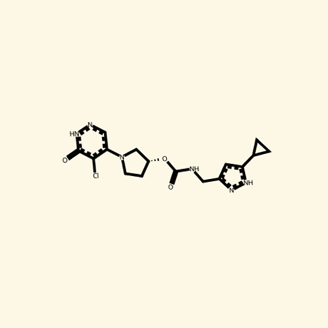 O=C(NCc1cc(C2CC2)[nH]n1)O[C@@H]1CCN(c2cn[nH]c(=O)c2Cl)C1